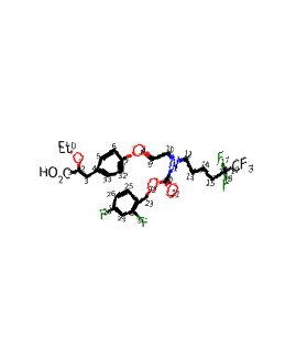 CCOC(Cc1ccc(OCCN(CCCCC(F)(F)C(F)(F)F)C(=O)OCc2ccc(F)cc2F)cc1)C(=O)O